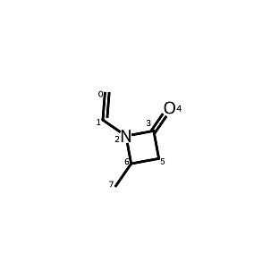 C=CN1C(=O)CC1C